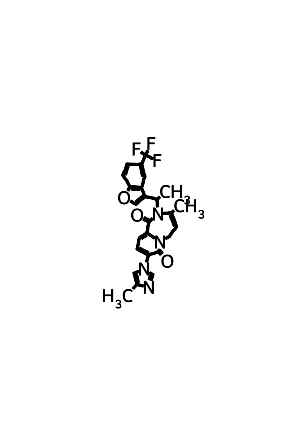 CC1=CCn2c(ccc(-n3cnc(C)c3)c2=O)C(=O)N1C(C)c1coc2ccc(C(F)(F)F)cc12